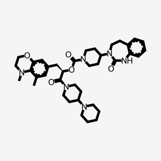 Cc1cc(C[C@@H](OC(=O)N2CCC(N3CCc4ccccc4NC3=O)CC2)C(=O)N2CCC(N3CCCCC3)CC2)cc2c1N(C)CCO2